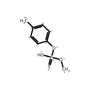 COP(O)(=S)Oc1ccc(C)cc1